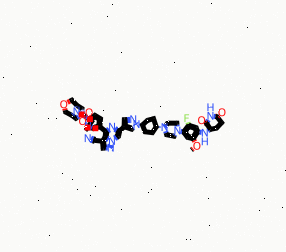 COc1cc(N2CCN([C@H]3CC[C@H](n4cc(-c5cn6ncc(C#N)c6c(-c6ccc(N7CC8COCC(C7)N8C(=O)OC(C)(C)C)nc6)n5)cn4)CC3)CC2)c(F)cc1NC1CCC(=O)NC1=O